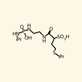 CC(C)NP(=O)(O)NCCNC(=O)C(CCSC(C)C)S(=O)(=O)O